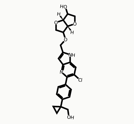 OCC1(c2ccc(-c3nc4cc(COC5CO[C@@H]6C(O)CO[C@H]56)[nH]c4cc3Cl)cc2)CC1